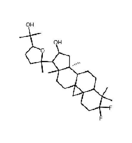 CC(C)(O)C1CCC(C)([C@H]2C(O)C[C@@]3(C)C4CCC5C(C)(C)C(F)(F)CCC56CC46CCC23C)O1